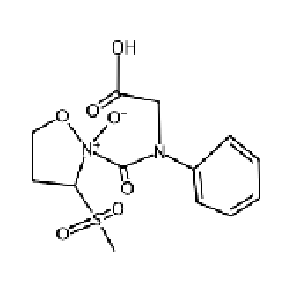 CS(=O)(=O)C1CCO[N+]1([O-])C(=O)N(CC(=O)O)c1ccccc1